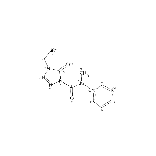 CC(C)Cn1nnn(C(=O)N(C)c2cccnc2)c1=O